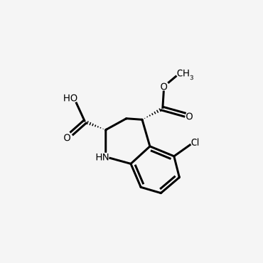 COC(=O)[C@H]1C[C@@H](C(=O)O)Nc2cccc(Cl)c21